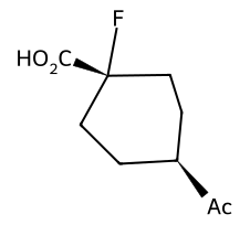 CC(=O)[C@H]1CC[C@@](F)(C(=O)O)CC1